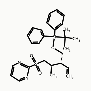 C=C[C@@H](CO[Si](c1ccccc1)(c1ccccc1)C(C)(C)C)[C@@H](C)CS(=O)(=O)c1ncccn1